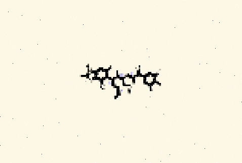 C\C=C/C=C(\C(C)=C(\C=C(/C)C(=O)c1cc(C)c(C)c(F)c1)COC)c1c(C)cc2c(nc(C)n2C)c1Cl